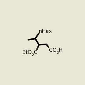 CCCCCCC(C)C(CC(=O)O)C(=O)OCC